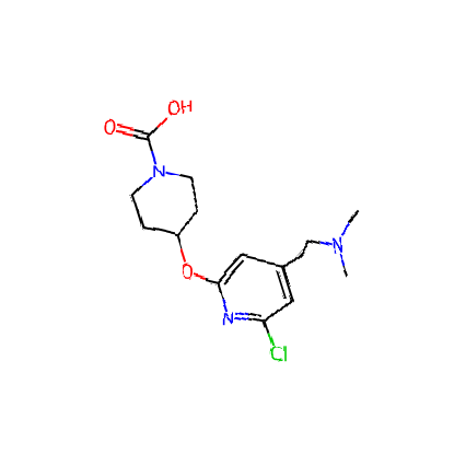 CN(C)Cc1cc(Cl)nc(OC2CCN(C(=O)O)CC2)c1